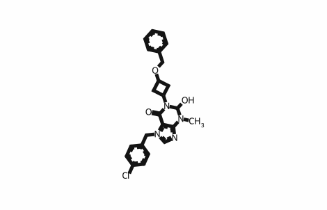 CN1c2ncn(Cc3ccc(Cl)cc3)c2C(=O)N(C2CC(OCc3ccccc3)C2)C1O